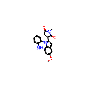 COc1ccc2c(c1)cc(C1CC(=O)N(C)C1=O)n2-c1ccccc1N